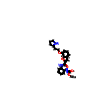 CC(C)(C)OC(=O)Nc1ccccc1NC(=O)c1cc2cccc(OCCC3CCCN3)c2o1